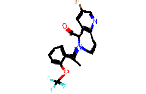 CC(c1ccccc1OC(F)(F)F)N1CCc2ncc(Br)cc2C1C=O